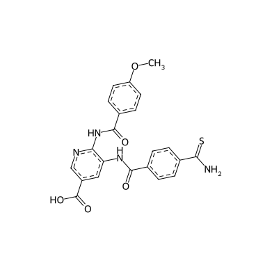 COc1ccc(C(=O)Nc2ncc(C(=O)O)cc2NC(=O)c2ccc(C(N)=S)cc2)cc1